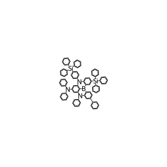 c1ccc(-c2ccc3c(c2)N(c2ccccc2)c2cc(N(c4ccccc4)c4ccccc4)cc4c2B3c2cc([Si](c3ccccc3)(c3ccccc3)c3ccccc3)ccc2N4c2ccc([Si](c3ccccc3)(c3ccccc3)c3ccccc3)cc2)cc1